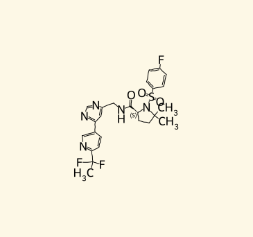 CC(F)(F)c1ccc(-c2cc(CNC(=O)[C@@H]3CCC(C)(C)N3S(=O)(=O)c3ccc(F)cc3)ncn2)cn1